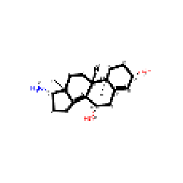 C[C@]12CC[C@H]3C(=C1CC[C@@H]2N)[C@@H](O)CC1=C[C@@H](O)CC[C@@]13C